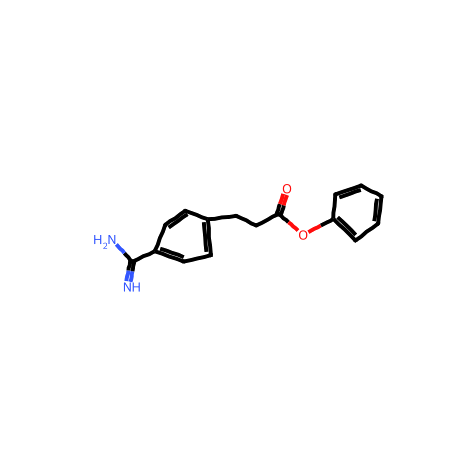 N=C(N)c1ccc(CCC(=O)Oc2ccccc2)cc1